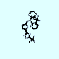 FC(F)(F)c1nc(-c2ccc(CN(c3cnccn3)c3ncccc3C(F)(F)F)s2)no1